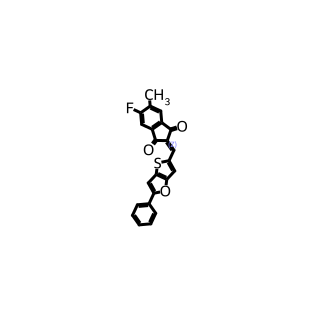 Cc1cc2c(cc1F)C(=O)/C(=C\c1cc3oc(-c4ccccc4)cc3s1)C2=O